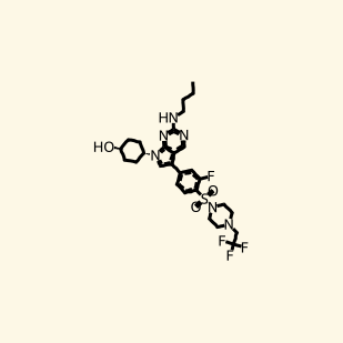 CCCCNc1ncc2c(-c3ccc(S(=O)(=O)N4CCN(CC(F)(F)F)CC4)c(F)c3)cn([C@H]3CC[C@H](O)CC3)c2n1